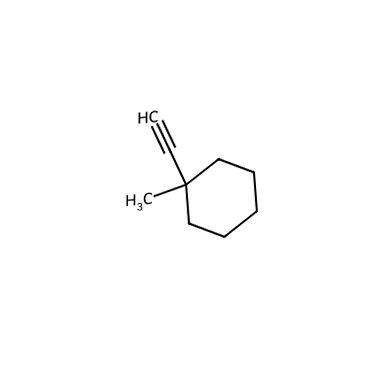 C#CC1(C)CCCCC1